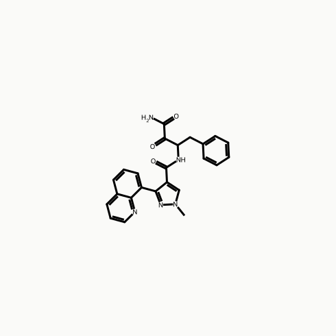 Cn1cc(C(=O)NC(Cc2ccccc2)C(=O)C(N)=O)c(-c2cccc3cccnc23)n1